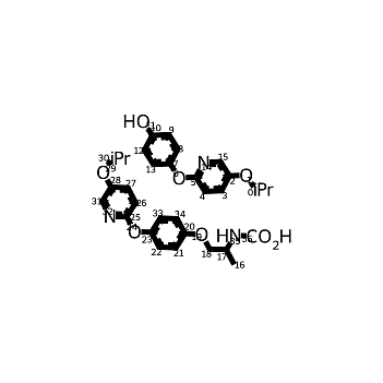 CC(C)Oc1ccc(Oc2ccc(O)cc2)nc1.CC(COc1ccc(Oc2ccc(OC(C)C)cn2)cc1)NC(=O)O